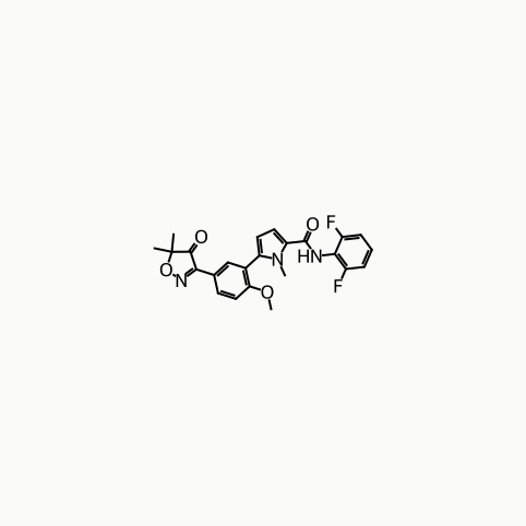 COc1ccc(C2=NOC(C)(C)C2=O)cc1-c1ccc(C(=O)Nc2c(F)cccc2F)n1C